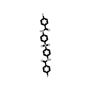 O=C(Nc1ccc(S(=O)(=O)c2ccc(NC(=O)c3ccc(F)cc3)cc2)cc1)c1ccc(F)cc1